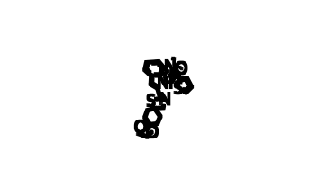 CN(c1cccc2cc(C3=NCC4(CCC5(CC4)OCCO5)S3)[nH]c12)S(=O)(=O)c1cccs1